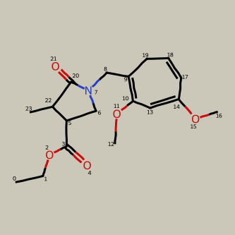 CCOC(=O)C1CN(CC2=C(OC)C=C(OC)C=CC2)C(=O)C1C